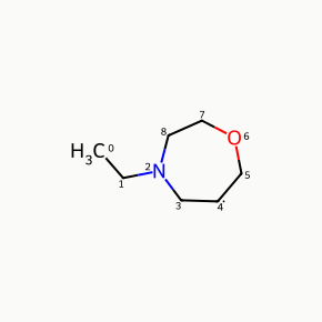 CCN1C[CH]COCC1